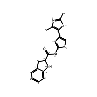 Cc1nc(C)c(-c2csc(NC(=O)C3Cc4ccccc4N3)n2)s1